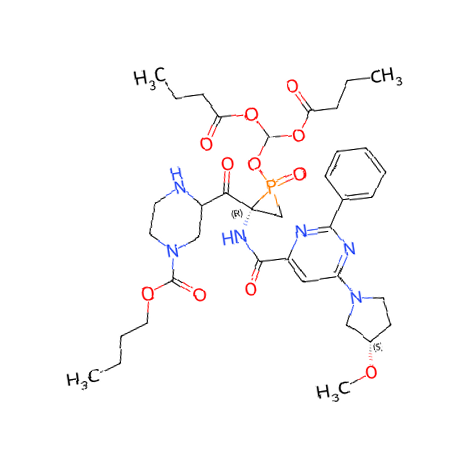 CCCCOC(=O)N1CCNC(C(=O)[C@]2(NC(=O)c3cc(N4CC[C@H](OC)C4)nc(-c4ccccc4)n3)CP2(=O)OC(OC(=O)CCC)OC(=O)CCC)C1